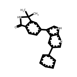 CC1(C)NC(=O)c2ccc(-c3c[nH]c4ncc(-c5ccccc5)cc34)cc21